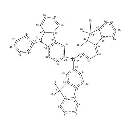 CC1(C)c2ccccc2-c2ccc(N(C3=CC=C4c5ccccc5C(C)(C)C4C3)c3ccc4c(c3)C3C=CC=CC3N4c3ccccc3)cc21